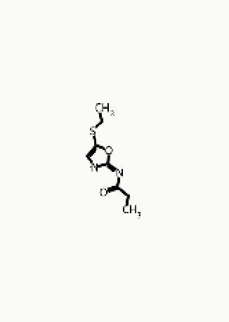 CCSC1=C[N]C(=NC(=O)CC)O1